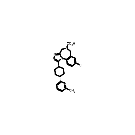 Cc1cccc([C@H]2CC[C@H](c3nnc4n3-c3ccc(Cl)cc3CN(C(=O)O)C4)CC2)n1